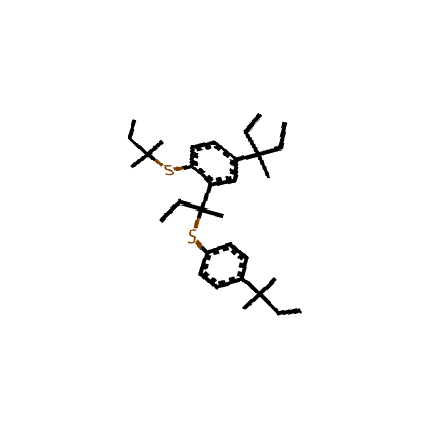 CCC(C)(C)Sc1ccc(C(C)(CC)CC)cc1C(C)(CC)Sc1ccc(C(C)(C)CC)cc1